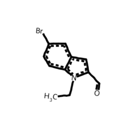 CCn1c(C=O)cc2cc(Br)ccc21